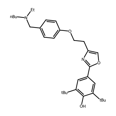 CCCCN(CC)Cc1ccc(OCCc2coc(-c3cc(C(C)(C)C)c(O)c(C(C)(C)C)c3)n2)cc1